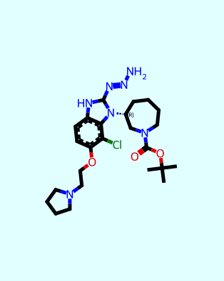 CC(C)(C)OC(=O)N1CCCC[C@@H](N2c3c(ccc(OCCN4CCCC4)c3Cl)NC2N=NN)C1